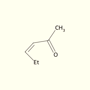 CC/C=C\C(C)=O